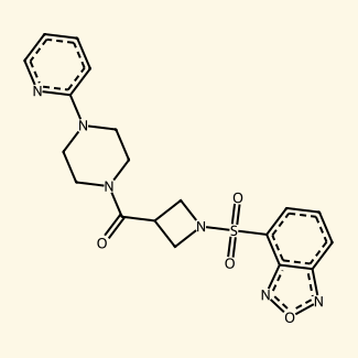 O=C(C1CN(S(=O)(=O)c2cccc3nonc23)C1)N1CCN(c2ccccn2)CC1